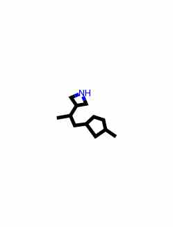 CC1CCC(CC(C)C2CNC2)C1